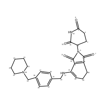 O=C1CCC(N2C(=O)C3=C(C2=O)C(NCc2ccc(CN4CCCCC4)cc2)=CCC3)C(=O)N1